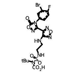 CC(C)(C)N(C(=O)O)S(=O)(=O)NCCNc1nonc1-c1noc(=O)n1-c1ccc(F)c(Br)c1